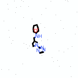 c1cnc(N2CCC(CNC3CC4CCC(C3)O4)C2)nn1